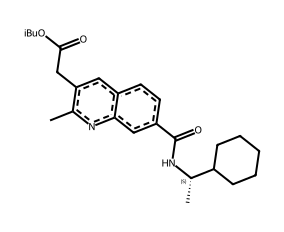 Cc1nc2cc(C(=O)N[C@@H](C)C3CCCCC3)ccc2cc1CC(=O)OCC(C)C